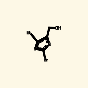 CCc1sc(Br)nc1CO